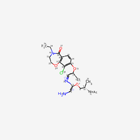 CCC(/C=N\C(=C/N)OC[C@H](C)NC(C)=O)Oc1ccc2c(c1Cl)OCCN(CC(F)(F)F)C2=O